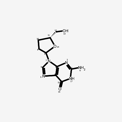 Nc1nc2c(ncn2C2CC[C@H](CO)O2)c(=O)[nH]1